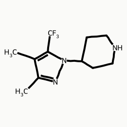 Cc1nn(C2CCNCC2)c(C(F)(F)F)c1C